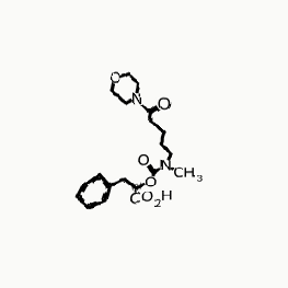 CN(CCCCC(=O)N1CCOCC1)C(=O)O[C@@H](Cc1ccccc1)C(=O)O